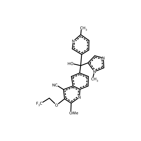 COc1nc2ccc(C(O)(c3ccc(C)nc3)c3cncn3C)cc2c(C#N)c1OCC(F)(F)F